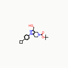 CC(C)(C)OC(=O)N1CCc2c(c(CO)nn2-c2ccc(C3CCC3)cc2)C1